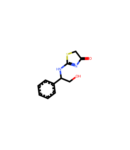 O=C1CSC(NC(CO)c2ccccc2)=N1